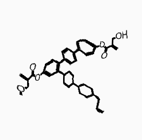 C=C(CO)C(=O)Oc1ccc(-c2ccc(-c3ccc(OC(=O)C(=C)COC)cc3C3CCC(C4CCC(CCC)CC4)CC3)cc2)cc1